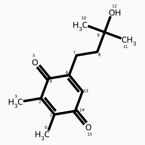 CC1=C(C)C(=O)C(CCC(C)(C)O)=CC1=O